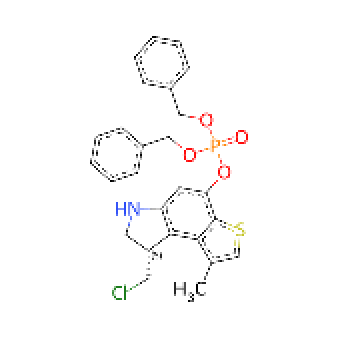 Cc1csc2c(OP(=O)(OCc3ccccc3)OCc3ccccc3)cc3c(c12)[C@H](CCl)CN3